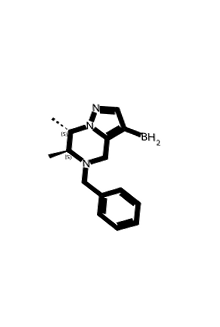 Bc1cnn2c1CN(Cc1ccccc1)[C@@H](C)[C@@H]2C